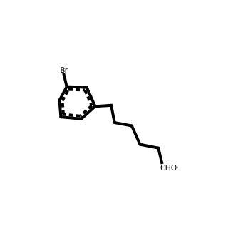 O=[C]CCCCCc1cccc(Br)c1